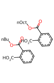 CCCCCCCCOC(=O)c1ccccc1C(=O)O.CCCCOC(=O)c1ccccc1C(=O)O